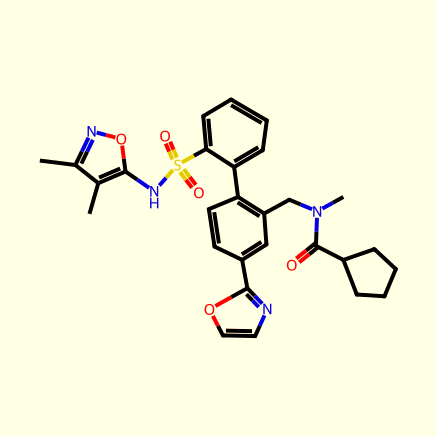 Cc1noc(NS(=O)(=O)c2ccccc2-c2ccc(-c3ncco3)cc2CN(C)C(=O)C2CCCC2)c1C